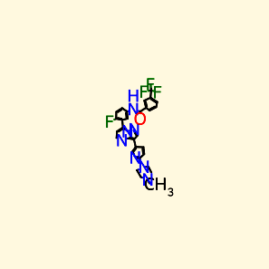 CN1CCN(c2ccc(-c3cnn4c(-c5cc(NC(=O)c6cccc(C(F)(F)F)c6)ccc5F)ccnc34)cn2)CC1